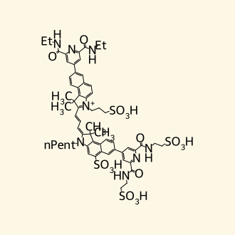 CCCCCN1/C(=C/C=C/C2=[N+](CCCS(=O)(=O)O)c3ccc4cc(-c5cc(C(=O)NCC)nc(C(=O)NCC)c5)ccc4c3C2(C)C)C(C)(C)c2c1cc(S(=O)(=O)O)c1cc(-c3cc(C(=O)NCCS(=O)(=O)O)nc(C(=O)NCCS(=O)(=O)O)c3)ccc21